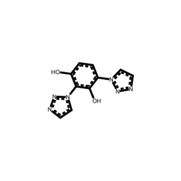 Oc1ccc(-n2ccnn2)c(O)c1-n1ccnn1